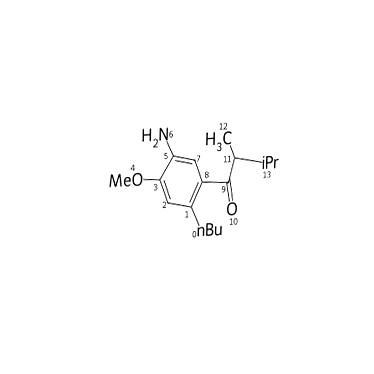 CCCCc1cc(OC)c(N)cc1C(=O)C(C)C(C)C